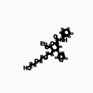 CCOC1OC(C(=O)NC2CC3CCC2C3)=C[C@H](c2ccoc2)C1CCOCCOCCO